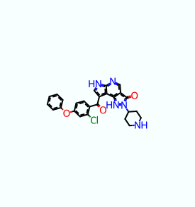 O=C(c1ccc(Oc2ccccc2)cc1Cl)c1c[nH]c2ncc3c(=O)n(C4CCNCC4)[nH]c3c12